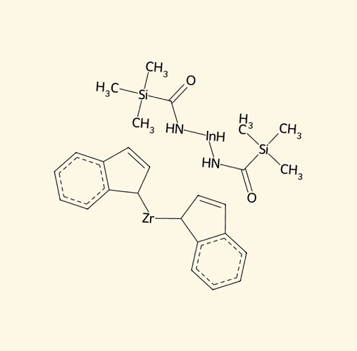 C1=C[CH]([Zr][CH]2C=Cc3ccccc32)c2ccccc21.C[Si](C)(C)C(=O)[NH][InH][NH]C(=O)[Si](C)(C)C